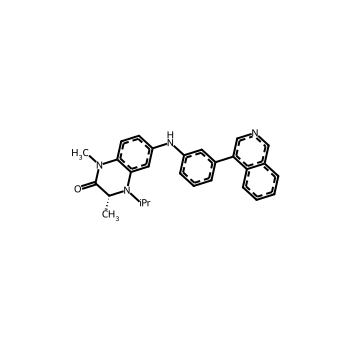 CC(C)N1c2cc(Nc3cccc(-c4cncc5ccccc45)c3)ccc2N(C)C(=O)[C@H]1C